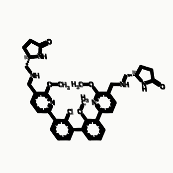 COc1nc(-c2cccc(-c3cccc(-c4ccc(CNC[C@@H]5CCC(=O)N5)c(OC)n4)c3OC)c2Cl)ccc1CNC[C@@H]1CCC(=O)N1